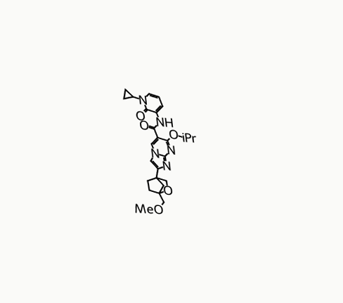 COCC12CCC(c3cn4cc(C(=O)Nc5cccn(C6CC6)c5=O)c(OC(C)C)nc4n3)(CO1)C2